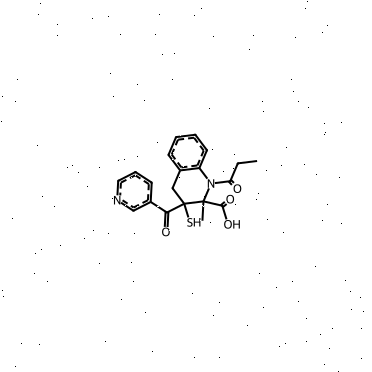 CCC(=O)N1c2ccccc2CC(S)(C(=O)c2cccnc2)C1(C)C(=O)O